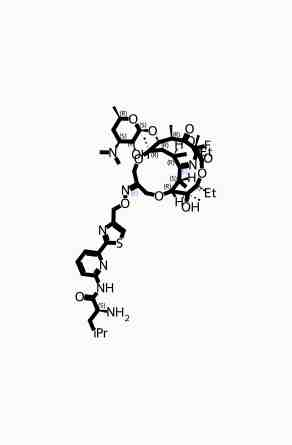 CCC(=O)/N=C1\[C@H](C)C[C@@]2(C)OC/C(=N/OCc3csc(-c4cccc(NC(=O)[C@@H](N)CC(C)C)n4)n3)CO[C@H]([C@H]1C)[C@](C)(O)[C@@H](CC)OC(=O)[C@@](C)(F)C(=O)[C@H](C)[C@H]2O[C@@H]1O[C@H](C)C[C@H](N(C)C)[C@H]1O